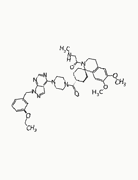 CCOc1cccc(Cn2ncc3c(N4CCN(C(=O)[C@H]5CC[C@]6(CC5)c5cc(OC)c(OC)cc5CCN6C(=O)CNC)CC4)ncnc32)c1